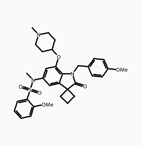 COc1ccc(CN2C(=O)C3(CCC3)c3cc(N(C)S(=O)(=O)c4ccccc4OC)cc(OC4CCN(C)CC4)c32)cc1